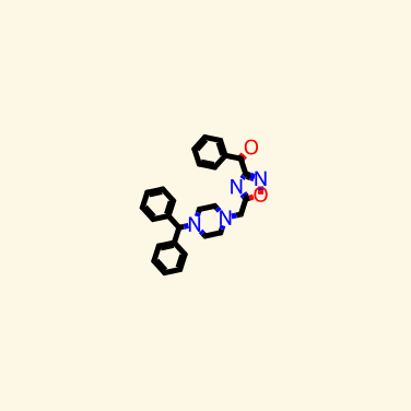 O=C(c1ccccc1)c1noc(CN2CCN(C(c3ccccc3)c3ccccc3)CC2)n1